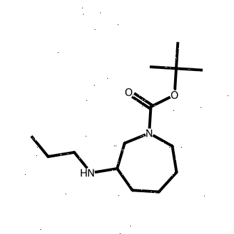 CCCNC1CCCCN(C(=O)OC(C)(C)C)C1